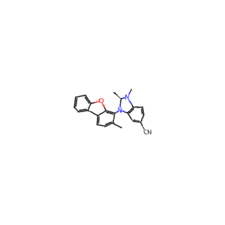 Cc1ccc2c(oc3ccccc32)c1N1c2cc(C#N)ccc2N(C)[C@@H]1C